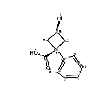 O=C(O)[C@]1(c2ccccc2)C[C@H](O)C1